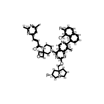 Cc1cc(/C=C/C(=O)N2CCN(c3nc(OC[C@@]45CCCN4C[C@H](F)C5)nc4c(F)c(-c5cccc6ccc(F)c(Cl)c56)ncc34)CC23COC3)nc(C)n1